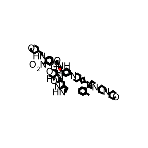 Cc1ccccc1[C@@H]1CN(C2CCN(C3CCOCC3)CC2)CCN1C1CC2(CCN(c3ccc(C(=O)NS(=O)(=O)c4ccc(NCC5CCOCC5)c([N+](=O)[O-])c4)c(N4c5cc6cc[nH]c6nc5O[C@H]5COCC[C@@H]54)c3)CC2)C1